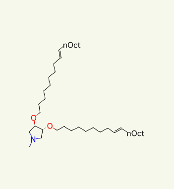 CCCCCCCCC=CCCCCCCCCO[C@@H]1CN(C)C[C@H]1OCCCCCCCCC=CCCCCCCCC